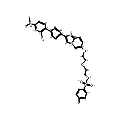 Cc1ccc(S(=O)(=O)OCCOCCOc2ccc3nc(-c4ccc(-c5ccc(N(C)C)nc5F)cc4)cn3c2)cc1